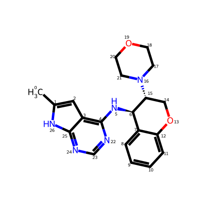 Cc1cc2c(N[C@@H]3c4ccccc4OC[C@H]3N3CCOCC3)ncnc2[nH]1